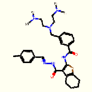 CCN(CC)CCN(CCN(CC)CC)Cc1cccc(C(=O)Nc2sc3c(c2C(=O)N/N=C/c2ccc(C)cc2)CCCC3)c1